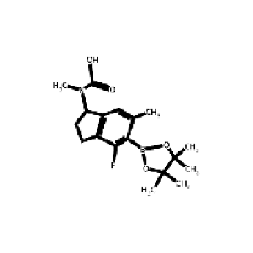 Cc1cc2c(c(F)c1B1OC(C)(C)C(C)(C)O1)CCC2N(C)C(=O)O